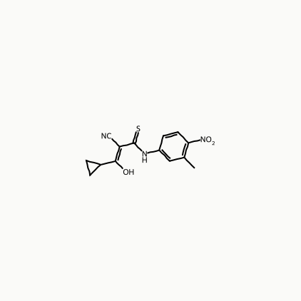 Cc1cc(NC(=S)C(C#N)=C(O)C2CC2)ccc1[N+](=O)[O-]